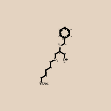 CCCCCCCCCCCCCCCOCC(CO)OCc1ccccc1